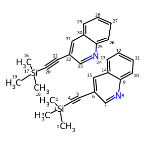 C[Si](C)(C)C#Cc1cnc2ccccc2c1.C[Si](C)(C)C#Cc1cnc2ccccc2c1